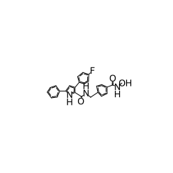 O=C(NO)c1ccc(CNC(=O)c2[nH]c(-c3ccccc3)cc2-c2ccc(F)cc2)cc1